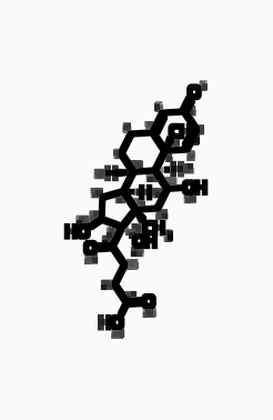 C[C@]12C=CC(=O)C=C1CC[C@@H]1[C@@H]2C(O)C[C@@]2(C)[C@H]1CC(O)[C@]2(O)C(=O)CCC(=O)O